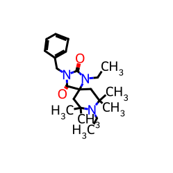 CCN1C(C)(C)CC2(CC1(C)C)C(=O)N(Cc1ccccc1)C(=O)N2CC